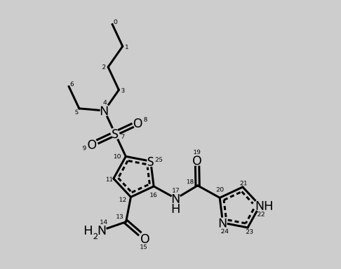 CCCCN(CC)S(=O)(=O)c1cc(C(N)=O)c(NC(=O)c2c[nH]cn2)s1